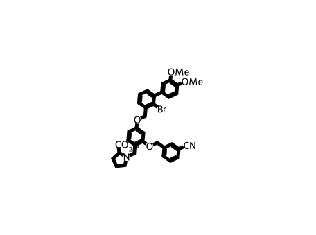 COc1ccc(-c2cccc(COc3ccc(CN4CCCC4C(=O)O)c(OCc4cccc(C#N)c4)c3)c2Br)cc1OC